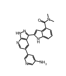 CN(C)C(=O)c1cccc2[nH]c(-c3n[nH]c4ncc(-c5cncc(N)c5)cc34)cc12